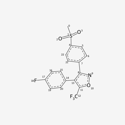 CS(=O)(=O)c1ccc(-c2noc(C(F)(F)F)c2-c2ccc(F)cc2)cc1